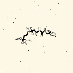 CCCCCCC(C)(CCCC)CNC(=O)NCCC(C)(C)OCCC(C)(C)OC